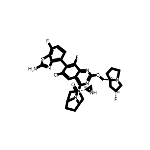 Nc1nc2c(-c3c(Cl)cc4c(N5CC6CCC(C5)N6C(=O)[C@@H]5CN5)nc(OC[C@@]56CCCN5C[C@H](F)C6)nc4c3F)ccc(F)c2s1